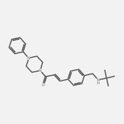 CC(C)(C)NCc1ccc(/C=C/C(=O)N2CCN(c3ccccc3)CC2)cc1